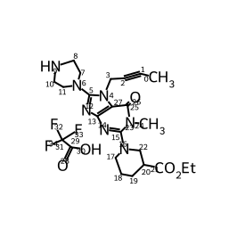 CC#CCn1c(N2CCNCC2)nc2nc(N3CCCC(C(=O)OCC)C3)n(C)c(=O)c21.O=C(O)C(F)(F)F